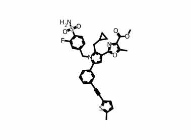 COC(=O)c1nc(-c2cc(-c3cccc(C#Cc4ccc(C)s4)c3)n(Cc3ccc(S(N)(=O)=O)c(F)c3)c2CC2CC2)oc1C